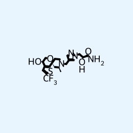 C[C@H]1C[C@@]2(CCN1Cc1cnn(C[C@@H](O)C(N)=O)c1)OC[C@@H](O)c1cc(C(F)(F)F)sc12